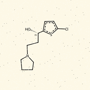 O[C@@H](CCN1CCCC1)c1ccc(Cl)s1